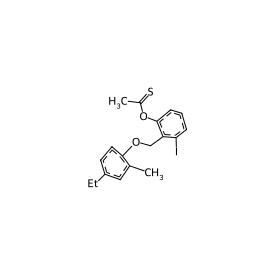 CCc1ccc(OCc2c(I)cccc2OC(C)=S)c(C)c1